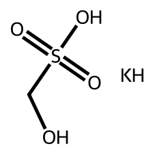 O=S(=O)(O)CO.[KH]